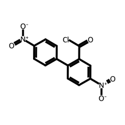 O=C(Cl)c1cc([N+](=O)[O-])ccc1-c1ccc([N+](=O)[O-])cc1